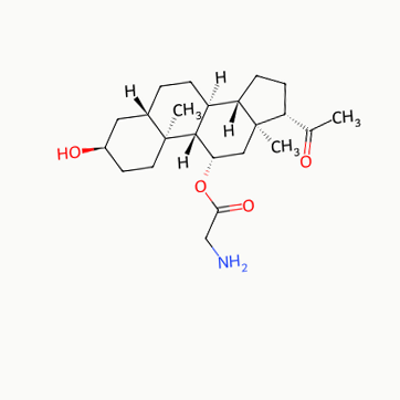 CC(=O)[C@H]1CC[C@H]2[C@@H]3CC[C@H]4C[C@H](O)CC[C@]4(C)[C@H]3[C@@H](OC(=O)CN)C[C@]12C